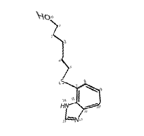 OCCCCCSc1cccc2nc[nH]c12